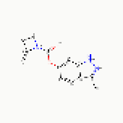 C=C1CCN1C(=O)Oc1ccc2c(C)n[nH]c2c1